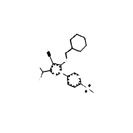 CS(=O)(=O)c1ccc(-n2nc(C(F)F)c(C#N)c2NCC2CCCCC2)cn1